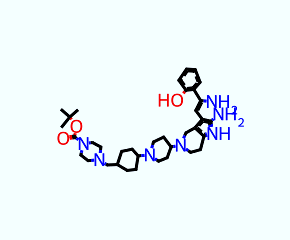 CC(C)(C)OC(=O)N1CCN(CC2CCC(N3CCC(N4CCc5[nH]c(N)c(/C=C(\N)c6ccccc6O)c5C4)CC3)CC2)CC1